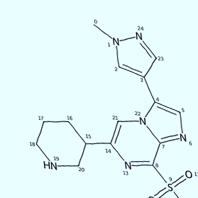 Cn1cc(-c2cnc3c(S(C)(=O)=O)nc(C4CCCNC4)cn23)cn1